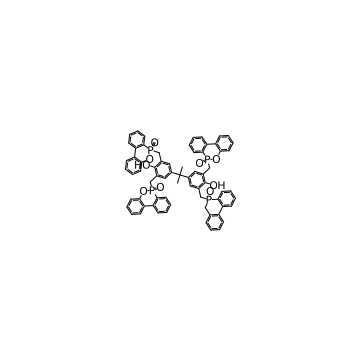 CC(C)(c1cc(CP2(=O)Cc3ccccc3-c3ccccc32)c(O)c(CP2(=O)Oc3ccccc3-c3ccccc32)c1)c1cc(CP2(=O)Oc3ccccc3-c3ccccc32)c(O)c(CP2(=O)Oc3ccccc3-c3ccccc32)c1